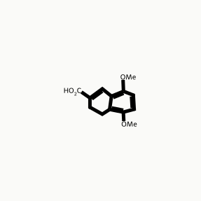 COc1ccc(OC)c2c1C=C(C(=O)O)CC2